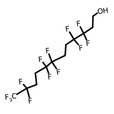 OCCC(F)(F)C(F)(F)CCC(F)(F)C(F)(F)CCC(F)(F)C(F)(F)F